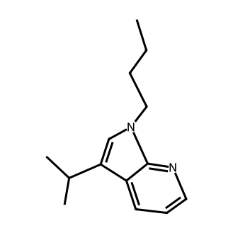 CCCCn1cc(C(C)C)c2cccnc21